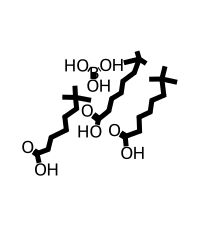 CC(C)(C)CCCCCC(=O)O.CC(C)(C)CCCCCC(=O)O.CC(C)(C)CCCCCC(=O)O.OB(O)O